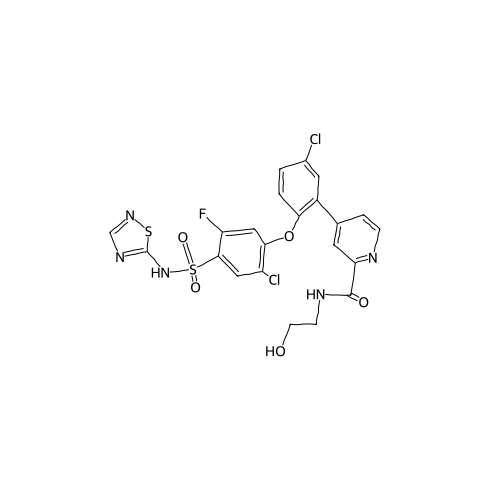 O=C(NCCO)c1cc(-c2cc(Cl)ccc2Oc2cc(F)c(S(=O)(=O)Nc3ncns3)cc2Cl)ccn1